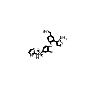 CC(C)Cc1ccc(Oc2ccc(S(=O)(=O)Nc3nccs3)cc2F)c(-c2ccnn2C)c1